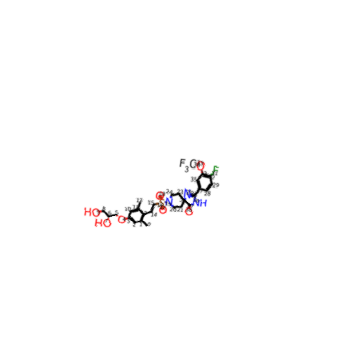 Cc1cc(OC[C@H](O)CO)cc(C)c1CCS(=O)(=O)N1CCC2(CC1)N=C(c1ccc(F)c(OC(F)(F)F)c1)NC2=O